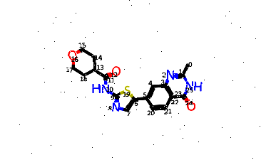 Cc1nc2cc(-c3cnc(NC(=O)C4CCOCC4)s3)ccc2c(=O)[nH]1